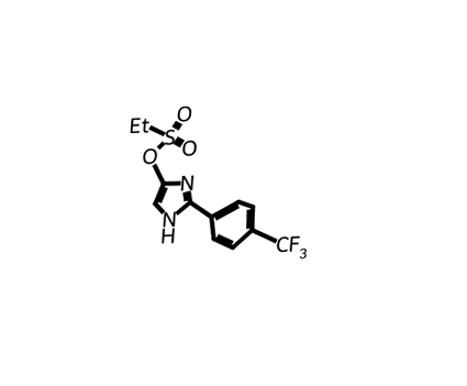 CCS(=O)(=O)Oc1c[nH]c(-c2ccc(C(F)(F)F)cc2)n1